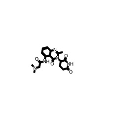 CC1=NC2C=CC=C(NC(=O)CN(C)C)C2C(=O)N1C1CCC(=O)NC1=O